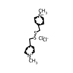 C[n+]1ccc(CSSCc2cc[n+](C)cc2)cc1.[Cl-].[Cl-]